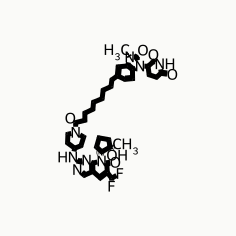 Cn1c(=O)n(C2CCC(=O)NC2=O)c2ccc(CCCCCCCCC(=O)N3CCC(Nc4ncc5cc(C(F)F)c(=O)n([C@@H]6CCC[C@@]6(C)O)c5n4)CC3)cc21